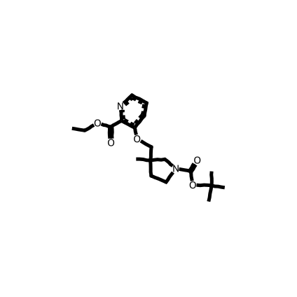 CCOC(=O)c1ncccc1OCC1(C)CCN(C(=O)OC(C)(C)C)C1